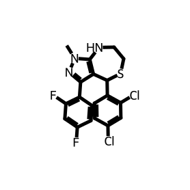 Cn1nc(-c2ccc(F)cc2F)c2c1NCCSC2c1ccc(Cl)cc1Cl